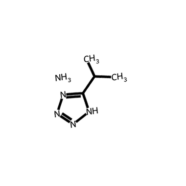 CC(C)c1nnn[nH]1.N